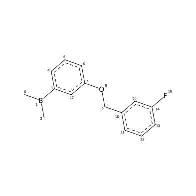 CB(C)c1cccc(OCc2cccc(F)c2)c1